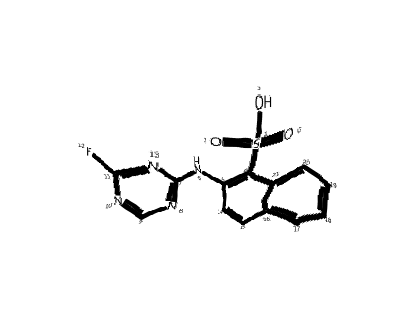 O=S(=O)(O)c1c(Nc2n[c]nc(F)n2)ccc2ccccc12